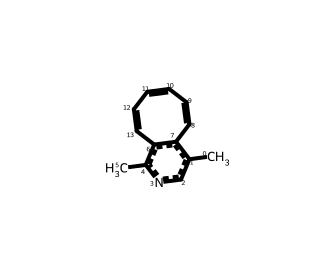 Cc1cnc(C)c2c1\C=C/C=C\C=C/2